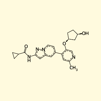 Cc1cc(-c2ccn3nc(NC(=O)C4CC4)cc3c2)c(O[C@H]2CC[C@@H](O)C2)cn1